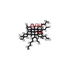 CCCCCCC(CCC)C(CC)(C(CCC)CCCCCC)C(C(CCC)CCCCCC)(C(CCC)CCCCCC)C(C(=O)O)(C(CCC)CCCCCC)C(CCC)CCCCCC